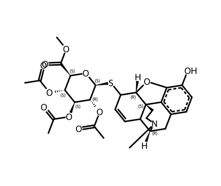 COC(=O)[C@H]1O[C@@H](SC2C=CC3[C@H]4Cc5ccc(O)c6c5[C@@]3(CCN4C)[C@H]2O6)[C@H](OC(C)=O)[C@@H](OC(C)=O)[C@@H]1OC(C)=O